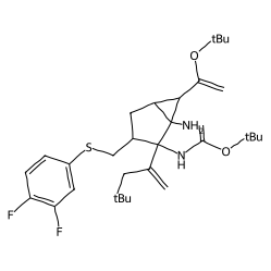 C=C(NC1(C(=C)CC(C)(C)C)C(CSc2ccc(F)c(F)c2)CC2C(C(=C)OC(C)(C)C)C21N)OC(C)(C)C